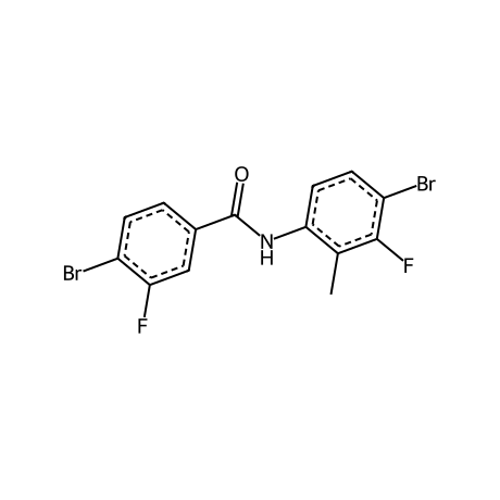 Cc1c(NC(=O)c2ccc(Br)c(F)c2)ccc(Br)c1F